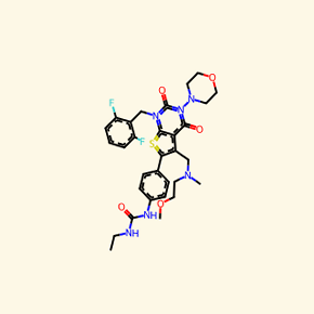 CCNC(=O)Nc1ccc(-c2sc3c(c2CN(C)CCOC)c(=O)n(N2CCOCC2)c(=O)n3Cc2c(F)cccc2F)cc1